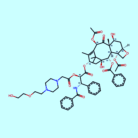 CC(=O)O[C@H]1C(=O)[C@@]2(C)[C@H]([C@H](OC(=O)c3ccccc3)[C@]3(O)C[C@H](OC(=O)[C@H](OC(=O)CN4CCN(CCOCCO)CC4)[C@@H](NC(=O)c4ccccc4)c4ccccc4)C(C)=C1C3(C)C)[C@]1(OC(C)=O)CO[C@@H]1C[C@@H]2O